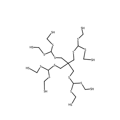 SCSC(SCS)SCC(CSC(SCS)SCS)(CSC(SCS)SCS)CSC(SCS)SCS